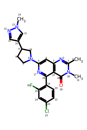 Cc1nc2cc(N3CCC(c4cnn(C)c4)C3)nc(-c3ccc(Cl)cc3F)c2c(=O)n1C